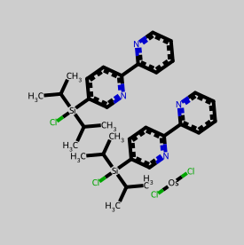 CC(C)[Si](Cl)(c1ccc(-c2ccccn2)nc1)C(C)C.CC(C)[Si](Cl)(c1ccc(-c2ccccn2)nc1)C(C)C.[Cl][Os][Cl]